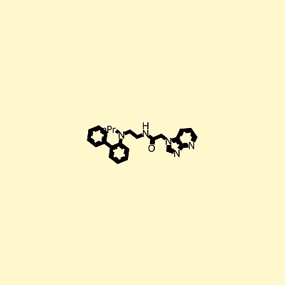 CCCN(CCNC(=O)Cn1cnc2ncccc21)c1ccccc1-c1ccccc1